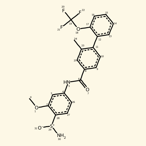 COc1cc(NC(=O)c2ccc(-c3ccccc3OC(F)(F)F)c(C)c2)ccc1[S+](N)[O-]